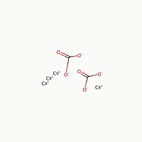 O=C([O-])[O-].O=C([O-])[O-].[Cs+].[Cs+].[Cs+].[Cs+]